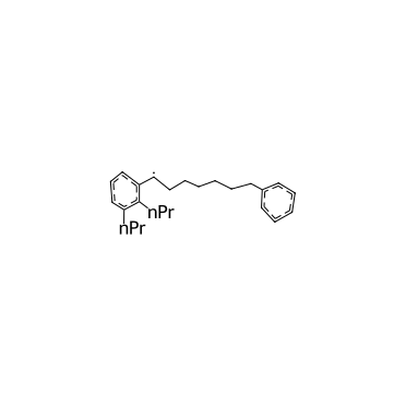 CCCc1cccc([CH]CCCCCCc2ccccc2)c1CCC